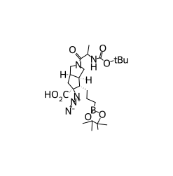 CC(NC(=O)OC(C)(C)C)C(=O)N1C[C@@H]2C[C@@](N=[N+]=[N-])(C(=O)O)[C@@H](CCCB3OC(C)(C)C(C)(C)O3)[C@@H]2C1